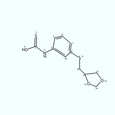 OC(=S)Nc1cccc(SCC2COCO2)c1